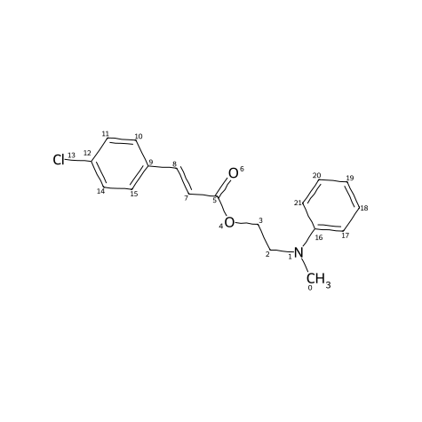 CN(CCOC(=O)C=Cc1ccc(Cl)cc1)c1ccccc1